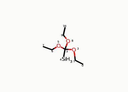 CCOC([SiH3])(OCC)OCC